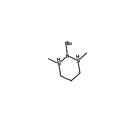 C[SiH]1CCC[SiH](C)N1C(C)(C)C